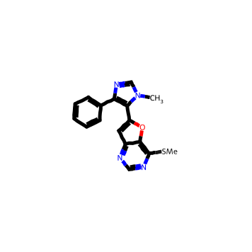 CSc1ncnc2cc(-c3c(-c4ccccc4)ncn3C)oc12